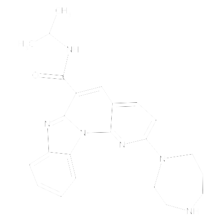 CC(C)NC(=O)c1cc2ccc(N3CCCNCC3)nc2n2c1nc1ccccc12